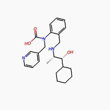 C[C@H](NCc1ccccc1N(Cc1cccnc1)C(=O)O)[C@H](O)C1CCCCC1